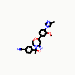 COc1cc(C2=CC3=NOC(C)(c4ccc(C#N)cc4)N3CCO2)ccc1-n1cnc(C)c1